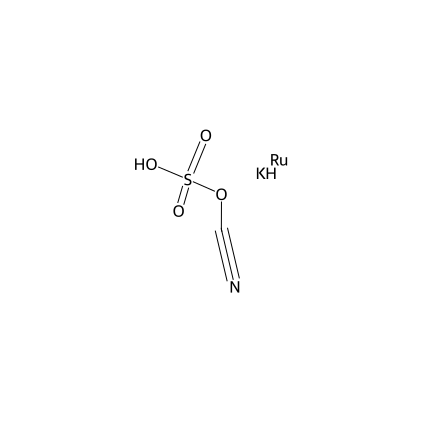 N#COS(=O)(=O)O.[KH].[Ru]